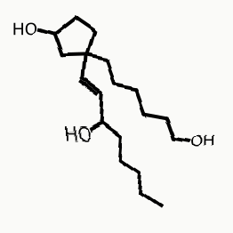 CCCCCC(O)/C=C/C1(CCCCCCO)CCC(O)C1